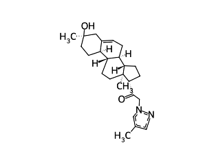 Cc1cnn(CC(=O)[C@H]2CC[C@H]3[C@@H]4CC=C5C[C@](C)(O)CC[C@@H]5[C@H]4CC[C@]23C)c1